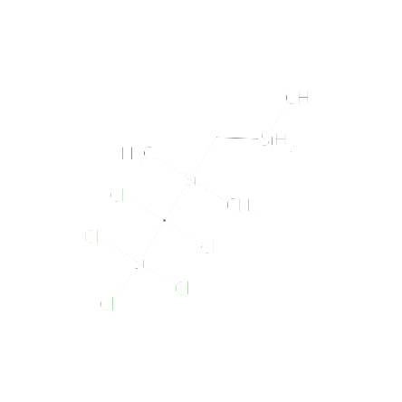 C[SiH2]C[Si](C)(C)C(Cl)(Cl)[Si](Cl)(Cl)Cl